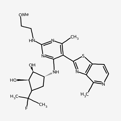 COCCNc1nc(C)c(-c2nc3c(C)nccc3s2)c(N[C@@H]2CC(C(C)(C)F)[C@@H](O)[C@H]2O)n1